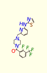 O=C(c1cccc(C(F)(F)F)c1F)N1CCN(Cc2cccc(Nc3nccs3)n2)CC1